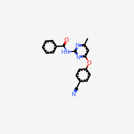 Cc1cc(Oc2ccc(C#N)cc2)nc(NC(=O)c2ccccc2)n1